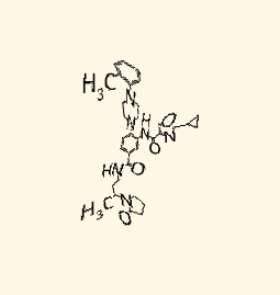 Cc1ccccc1N1CCN(c2ccc(C(=O)NCCC(C)N3CCCC3=O)cc2NC(=O)c2coc(C3CC3)n2)CC1